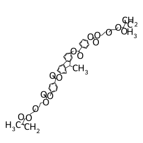 C=C(C)C(=O)OCCOCCOC(=O)Oc1ccc(C(=O)Oc2ccc3c(c2)C(C)c2cc(OC(=O)c4ccc(OC(=O)OCCOCCOC(=O)C(=C)C)cc4)ccc2-3)cc1